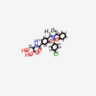 CC[C@@H](c1ccccc1)N(Cc1ccc(C(=O)N[C@H](CO)C(=O)O)cc1)S(=O)(=O)c1ccc(Cl)cc1